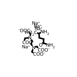 NC(=O)CCC(N)C(=O)O.O=C([O-])CN(CCN(CC(=O)[O-])CC(=O)[O-])CC(=O)[O-].[Na+].[Na+].[Na+].[Na+]